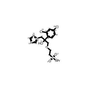 CCCS(=O)(=O)CCSCC(O)(Cn1cncn1)c1ccc(Cl)cc1Cl